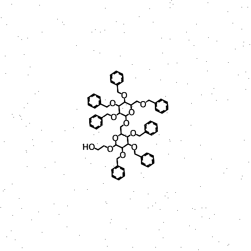 OCCOC1OC(COC2OC(COCc3ccccc3)C(OCc3ccccc3)C(OCc3ccccc3)C2OCc2ccccc2)C(OCc2ccccc2)C(OCc2ccccc2)C1OCc1ccccc1